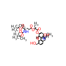 C[C@H](OC(=O)CC[C@H](NC(=O)OC(C)(C)C)C(=O)OC(C)(C)C)C(=O)OC1=CC[C@@]2(O)[C@H]3Cc4ccc(CO)c5c4[C@@]2(CCN3C)[C@H]1O5